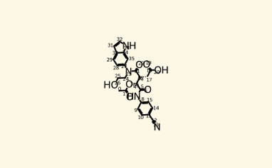 CC(=O)O[C@@H](C(=O)Nc1ccc(C#N)cc1)[C@@H](CC(=O)O)C(=O)N(CCO)c1ccc2cc[nH]c2c1